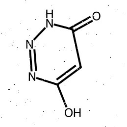 O=c1cc(O)nn[nH]1